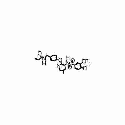 C=CC(=O)N[C@H](C)c1ccc(Oc2ncc(C)cc2NS(=O)(=O)c2ccc(Cl)c(C(F)(F)F)c2)cc1